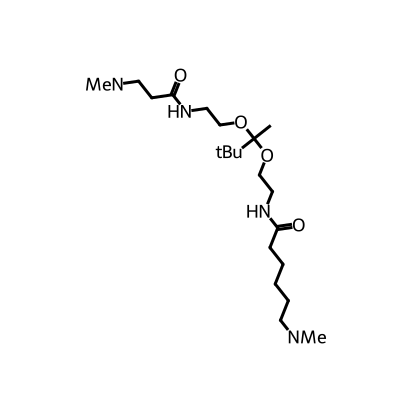 CNCCCCCC(=O)NCCOC(C)(OCCNC(=O)CCNC)C(C)(C)C